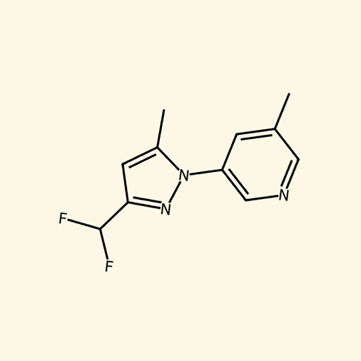 Cc1cncc(-n2nc(C(F)F)cc2C)c1